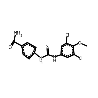 COc1c(Cl)cc(NC(=S)Nc2ccc(C(N)=O)cc2)cc1Cl